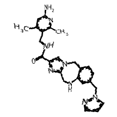 Cc1cc(N)nc(C)c1CNC(=O)c1cn2c(n1)CNc1cc(Cn3cccn3)ccc1C2